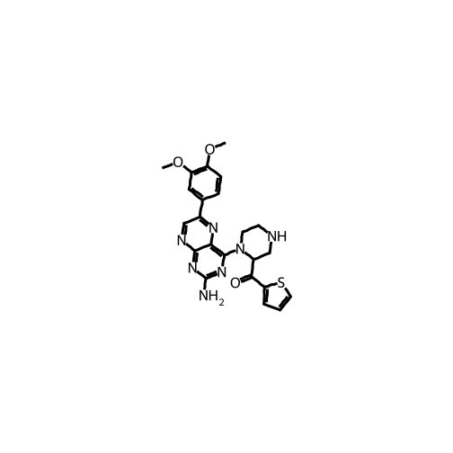 COc1ccc(-c2cnc3nc(N)nc(N4CCNCC4C(=O)c4cccs4)c3n2)cc1OC